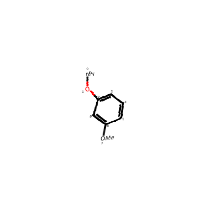 C[CH]COc1cccc(OC)c1